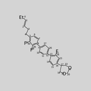 CC/C=C/CCc1ccc(-c2ccc(-c3ccc(C4COCOC4)cc3F)cc2)c(F)c1F